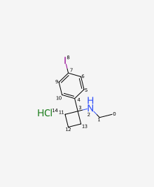 CCNC1(c2ccc(I)cc2)CCC1.Cl